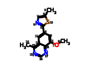 COc1cc(-c2ncc(C)s2)cc2c(C)ncnc12